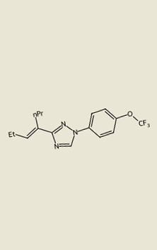 CC/C=C(\CCC)c1ncn(-c2ccc(OC(F)(F)F)cc2)n1